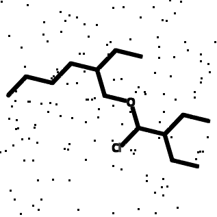 CCCCC(CC)COC(Cl)C(CC)CC